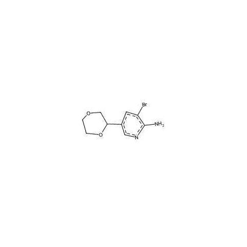 Nc1ncc(C2COCCO2)cc1Br